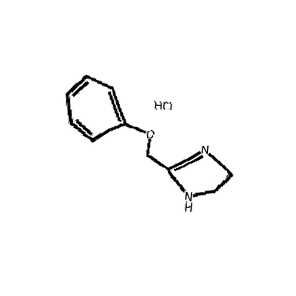 Cl.c1ccc(OCC2=NCCN2)cc1